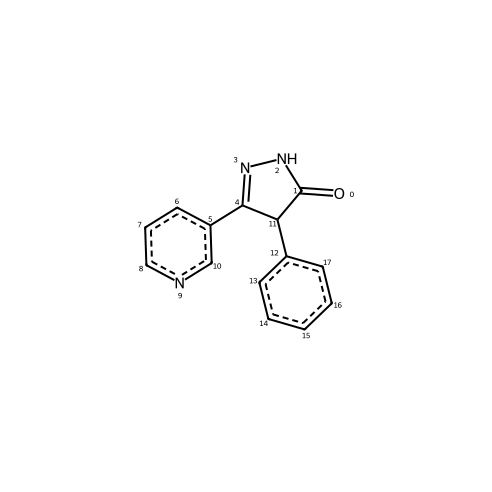 O=C1NN=C(c2cccnc2)C1c1ccccc1